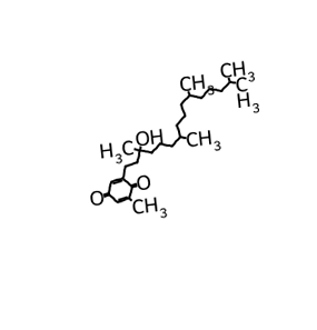 CC1=CC(=O)C=C(CCC(C)(O)CCCC(C)CCCC(C)CCCC(C)C)C1=O